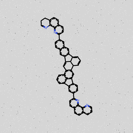 C1=CC2c3cc4c5c(cccc5c3C=C3c5cc6ccc(-c7ccc8ccc9c(c8n7)N=CCC9)cc6cc5C(=C1)C32)-c1cc(-c2ccc3ccc5cccnc5c3n2)ccc1-4